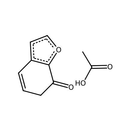 CC(=O)O.O=C1CC=Cc2ccoc21